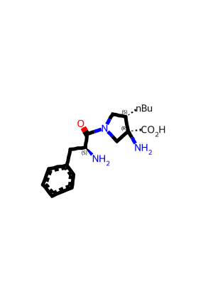 CCCC[C@H]1CN(C(=O)[C@@H](N)Cc2ccccc2)C[C@@]1(N)C(=O)O